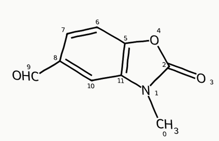 Cn1c(=O)oc2ccc(C=O)cc21